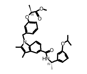 COC(=O)[C@H](C)Oc1cccc(Cn2c(C)c(C)c3cc(C(=O)N[C@@H](C)c4cccc(OC(C)C)c4)ccc32)c1